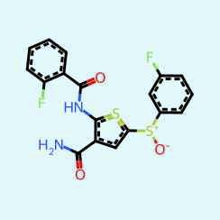 NC(=O)c1cc([S+]([O-])c2cccc(F)c2)sc1NC(=O)c1ccccc1F